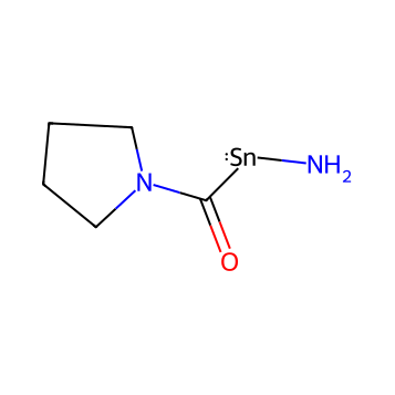 [NH2][Sn][C](=O)N1CCCC1